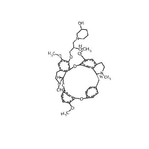 COc1ccc2cc1Oc1ccc(cc1)C[C@H]1c3cc(c(OC)cc3CCN1C)Oc1c(OCC(O)CN3CCCC(O)C3)c(OC)cc3c1[C@H](C2)N(C)CC3